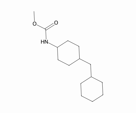 COC(=O)NC1CCC(CC2CCCCC2)CC1